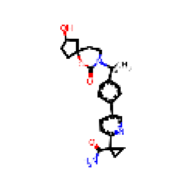 C[C@@H](c1ccc(-c2ccc(C3(C(N)=O)CC3)nc2)cc1)N1CCC2(CCC(O)C2)OC1=O